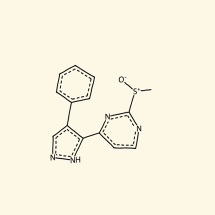 C[S+]([O-])c1nccc(-c2[nH]ncc2-c2ccccc2)n1